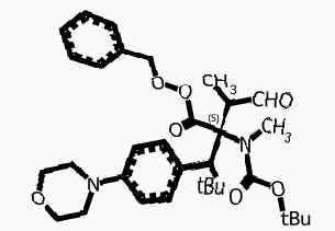 CC(C=O)[C@](C(=O)OOCc1ccccc1)(C(c1ccc(N2CCOCC2)cc1)C(C)(C)C)N(C)C(=O)OC(C)(C)C